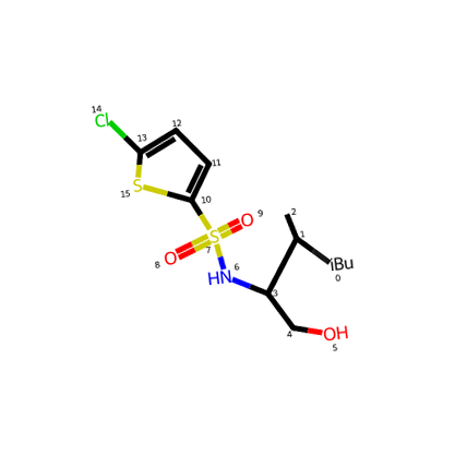 CCC(C)C(C)C(CO)NS(=O)(=O)c1ccc(Cl)s1